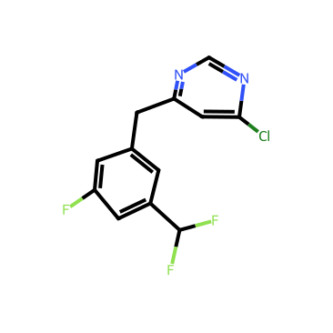 Fc1cc(Cc2cc(Cl)ncn2)cc(C(F)F)c1